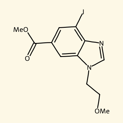 COCCn1cnc2c(I)cc(C(=O)OC)cc21